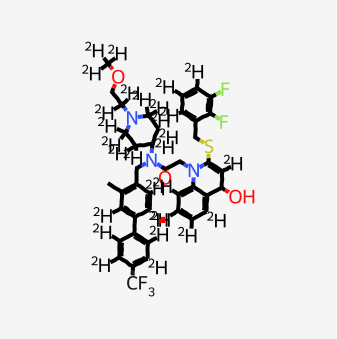 [2H]C1=C(SCc2c([2H])c([2H])c([2H])c(F)c2F)N(CC(=O)N(Cc2c([2H])c([2H])c(-c3c([2H])c([2H])c(C(F)(F)F)c([2H])c3[2H])c([2H])c2C)C2([2H])C([2H])([2H])C([2H])([2H])N(C([2H])([2H])COC([2H])([2H])[2H])C([2H])([2H])C2([2H])[2H])c2c([2H])c([2H])c([2H])c([2H])c2C1O